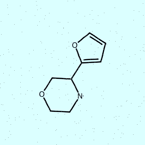 c1coc(C2COCC[N]2)c1